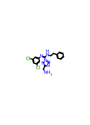 NCc1nnn(C(=Nc2cc(Cl)cc(Cl)c2)NCCc2ccccc2)n1